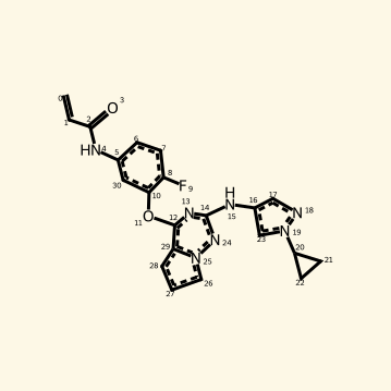 C=CC(=O)Nc1ccc(F)c(Oc2nc(Nc3cnn(C4CC4)c3)nn3cccc23)c1